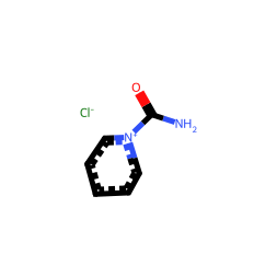 NC(=O)[n+]1ccccc1.[Cl-]